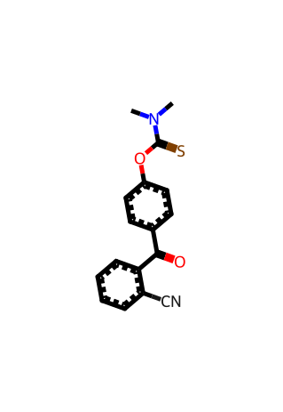 CN(C)C(=S)Oc1ccc(C(=O)c2ccccc2C#N)cc1